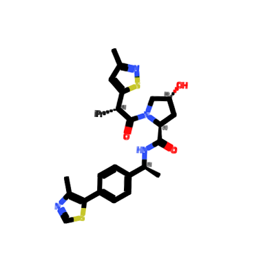 Cc1cc([C@H](C(=O)N2C[C@H](O)C[C@H]2C(=O)N[C@@H](C)c2ccc(-c3scnc3C)cc2)C(C)C)sn1